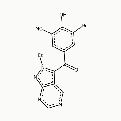 CCn1nc2ncncc2c1C(=O)c1cc(Br)c(O)c(C#N)c1